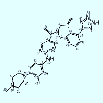 C=CCN1C(=C)c2cnc(Nc3ccc(N4CCN(C)CC4)c(C)c3)nc2N1c1cccc(-c2nn[nH]n2)c1